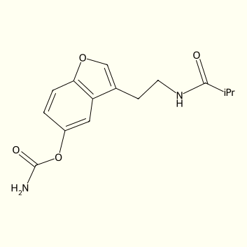 CC(C)C(=O)NCCc1coc2ccc(OC(N)=O)cc12